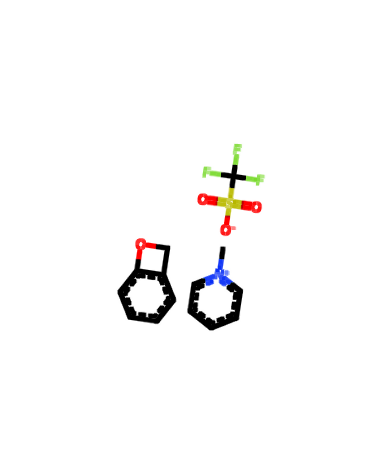 C[n+]1ccccc1.O=S(=O)([O-])C(F)(F)F.c1ccc2c(c1)CO2